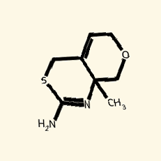 CC12COCC=C1CSC(N)=N2